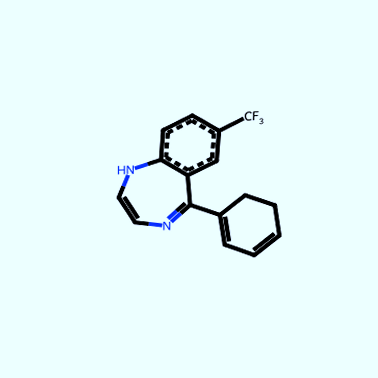 FC(F)(F)c1ccc2c(c1)C(C1=CC=CCC1)=NC=CN2